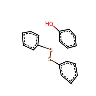 Oc1ccccc1.c1ccc(SSc2ccccc2)cc1